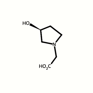 O=C(O)CN1CC[C@H](O)C1